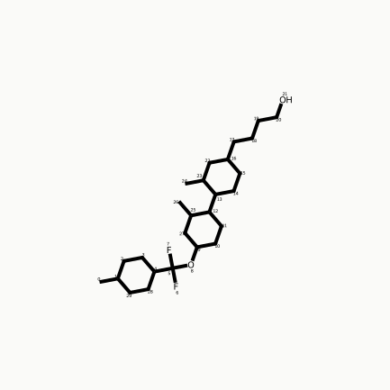 CC1CCC(C(F)(F)OC2CCC(C3CCC(CCCCO)CC3C)C(C)C2)CC1